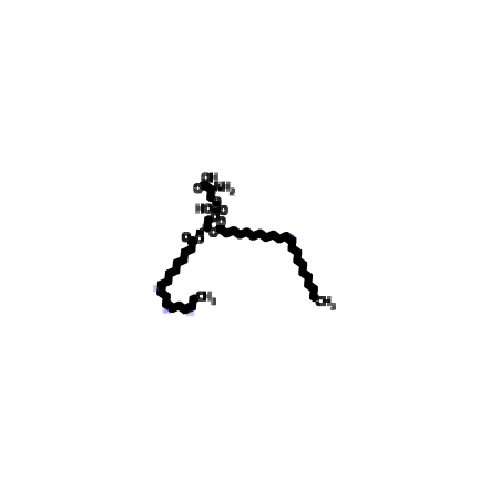 CC/C=C\C/C=C\C/C=C\CCCCCCCC(=O)OC[C@H](COP(=O)(O)OC[C@H](N)C(=O)O)OC(=O)CCCCCCCCC/C=C\CCCCCCCCCC